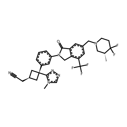 C[C@@H]1CN(Cc2cc3c(c(C(F)(F)F)c2)CN(c2cccc([C@]4(c5nncn5C)C[C@H](CC#N)C4)c2)C3=O)CCC1(F)F